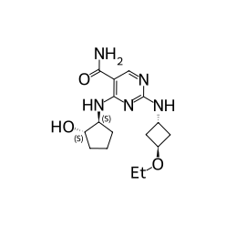 CCO[C@H]1C[C@H](Nc2ncc(C(N)=O)c(N[C@H]3CCC[C@@H]3O)n2)C1